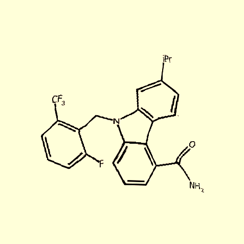 CC(C)c1c[c]c2c3c(C(N)=O)cccc3n(Cc3c(F)cccc3C(F)(F)F)c2c1